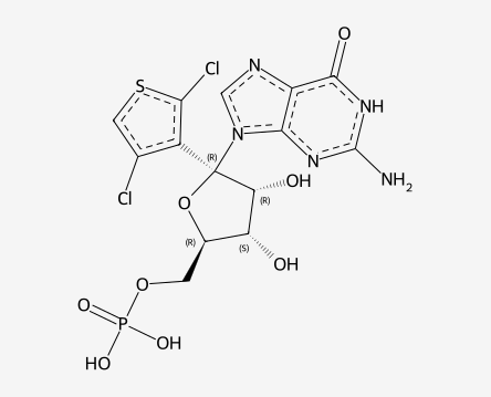 Nc1nc2c(ncn2[C@]2(c3c(Cl)csc3Cl)O[C@H](COP(=O)(O)O)[C@@H](O)[C@H]2O)c(=O)[nH]1